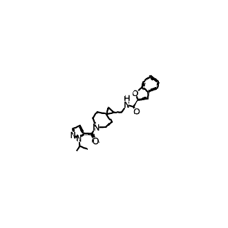 CC(C)n1nccc1C(=O)N1CCC2(CC1)CC2CNC(=O)c1cc2ccccc2o1